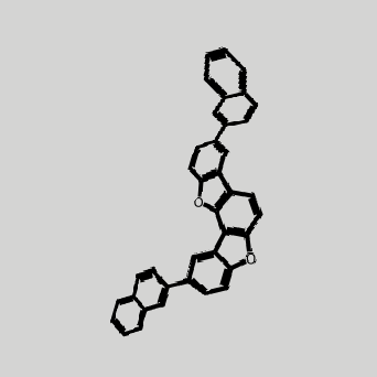 c1ccc2cc(-c3ccc4oc5c(ccc6oc7ccc(-c8ccc9ccccc9c8)cc7c65)c4c3)ccc2c1